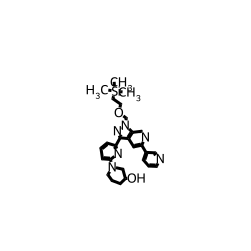 C[Si](C)(C)CCOCn1nc(-c2cccc(N3CCCC(O)C3)n2)c2cc(-c3cccnc3)ncc21